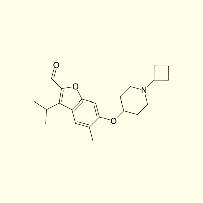 Cc1cc2c(C(C)C)c(C=O)oc2cc1OC1CCN(C2CCC2)CC1